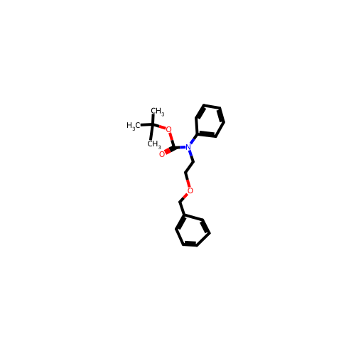 CC(C)(C)OC(=O)N(CCOCc1ccccc1)c1ccccc1